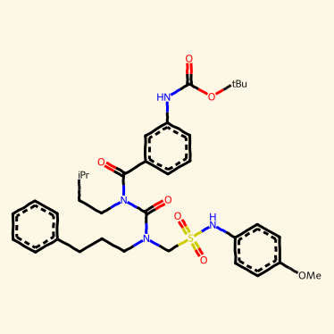 COc1ccc(NS(=O)(=O)CN(CCCc2ccccc2)C(=O)N(CCC(C)C)C(=O)c2cccc(NC(=O)OC(C)(C)C)c2)cc1